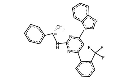 C[C@H](Nc1nc(-c2ccccc2C(F)(F)F)cc(-n2cnc3ccccc32)n1)c1ccccc1